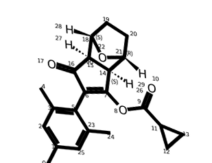 Cc1cc(C)c(C2=C(OC(=O)C3CC3)[C@H]3[C@@H](C2=O)[C@@H]2CC[C@H]3O2)c(C)c1